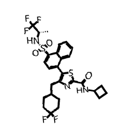 C[C@H](NS(=O)(=O)c1ccc(-c2sc(C(=O)NC3CCC3)nc2CC2CCC(F)(F)CC2)c2ccccc12)C(F)(F)F